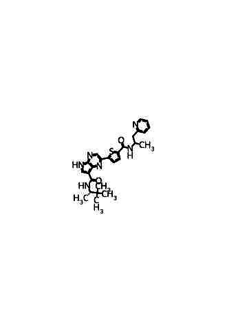 CC(Cc1ccccn1)NC(=O)c1ccc(-c2cnc3[nH]cc(C(=O)N[C@@H](C)C(C)(C)C)c3n2)s1